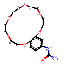 NC(=O)Nc1ccc2c(c1)OCCOCCOCCOCCOCCO2